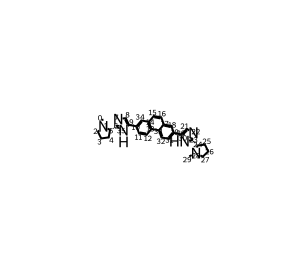 CN1CCC[C@H]1c1ncc(-c2ccc3c(ccc4cc(-c5cnc([C@@H]6CCCN6C)[nH]5)ccc43)c2)[nH]1